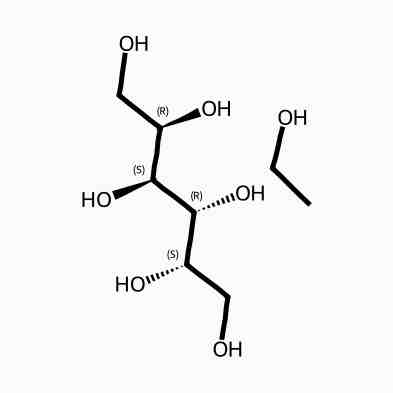 CCO.OC[C@@H](O)[C@H](O)[C@H](O)[C@@H](O)CO